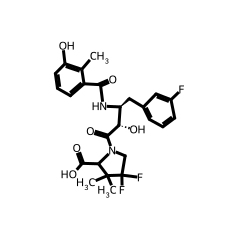 Cc1c(O)cccc1C(=O)N[C@@H](Cc1cccc(F)c1)[C@H](O)C(=O)N1CC(F)(F)C(C)(C)C1C(=O)O